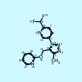 Cc1nnn(-c2ccc(C(F)F)nc2)c1COc1ccccn1